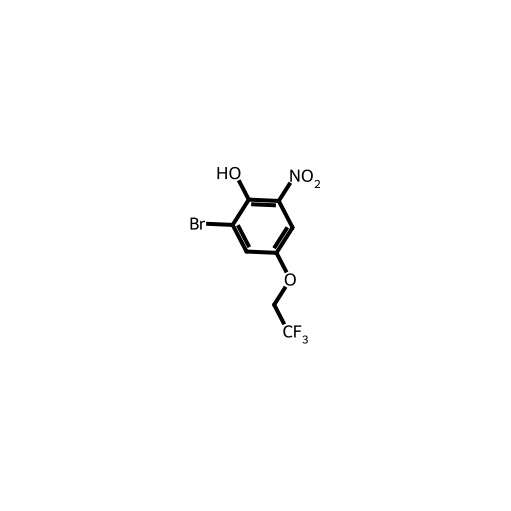 O=[N+]([O-])c1cc(OCC(F)(F)F)cc(Br)c1O